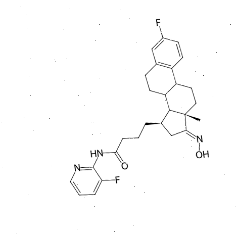 C[C@]12CCC3c4ccc(F)cc4CCC3C1[C@H](CCCC(=O)Nc1ncccc1F)C/C2=N\O